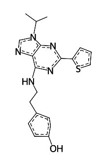 CC(C)n1cnc2c(NCCc3ccc(O)cc3)nc(-c3cccs3)nc21